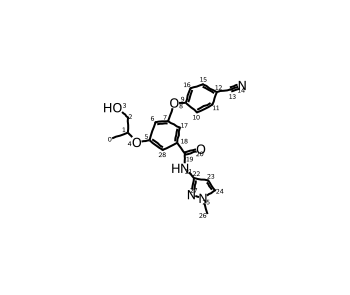 CC(CO)Oc1cc(Oc2ccc(C#N)cc2)cc(C(=O)Nc2ccn(C)n2)c1